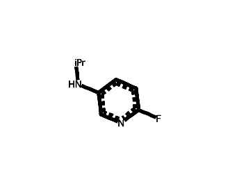 CC(C)Nc1ccc(F)nc1